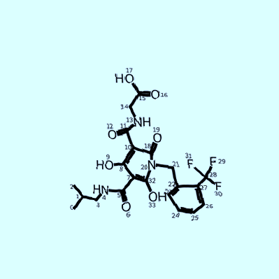 CC(C)CNC(=O)c1c(O)c(C(=O)NCC(=O)O)c(=O)n(Cc2ccccc2C(F)(F)F)c1O